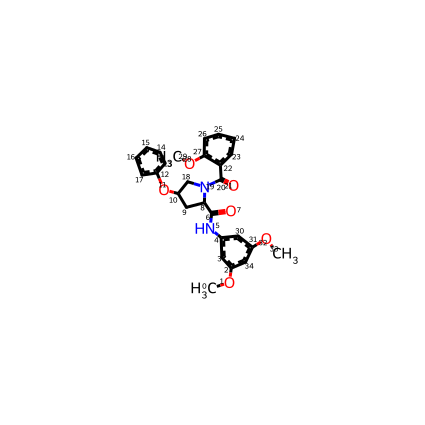 COc1cc(NC(=O)C2CC(Oc3ccccc3)CN2C(=O)c2ccccc2OC)cc(OC)c1